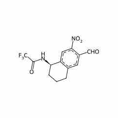 O=Cc1cc2c(cc1[N+](=O)[O-])[C@H](NC(=O)C(F)(F)F)CCC2